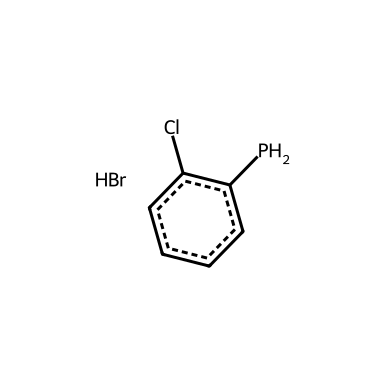 Br.Pc1ccccc1Cl